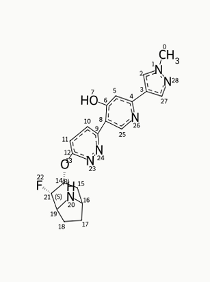 Cn1cc(-c2cc(O)c(-c3ccc(O[C@@H]4CC5CCC(N5)[C@@H]4F)nn3)cn2)cn1